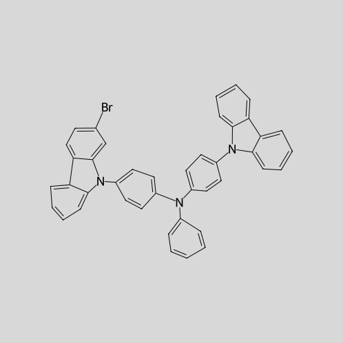 Brc1ccc2c3ccccc3n(-c3ccc(N(c4ccccc4)c4ccc(-n5c6ccccc6c6ccccc65)cc4)cc3)c2c1